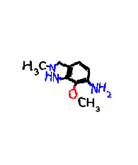 COc1c(N)ccc2c1NN(C)C2